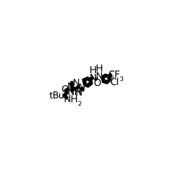 CC(C)(C)[C@H](N)C(=O)Nc1ncnc2c1ncn2-c1ccc(NC(=O)Nc2ccc(Cl)c(C(F)(F)F)c2)cc1